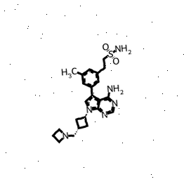 Cc1cc(CCS(N)(=O)=O)cc(-c2cn([C@H]3C[C@@H](CN4CCC4)C3)c3ncnc(N)c23)c1